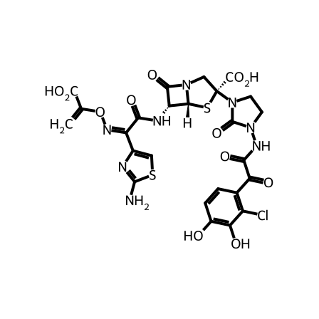 C=C(O/N=C(\C(=O)N[C@@H]1C(=O)N2C[C@@](C(=O)O)(N3CCN(NC(=O)C(=O)c4ccc(O)c(O)c4Cl)C3=O)S[C@H]12)c1csc(N)n1)C(=O)O